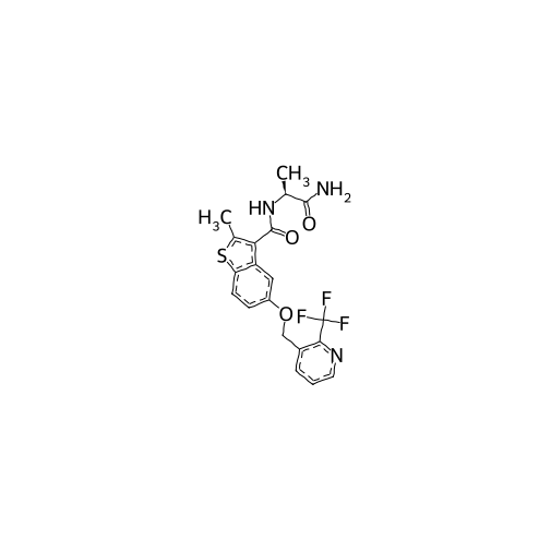 Cc1sc2ccc(OCc3cccnc3C(F)(F)F)cc2c1C(=O)N[C@@H](C)C(N)=O